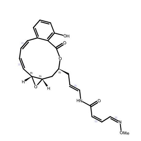 CO/N=C\C=C/C(=O)N/C=C/C[C@H]1C[C@@H]2O[C@@H]2/C=C\C=C/c2cccc(O)c2C(=O)O1